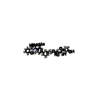 CNC(=N)/C(=C\C(=N)c1ccccc1O)N1CCN(C2CCCN(CCOc3cc([C@H](C(=O)N4CC[C@@H](O)C4)C(C)C)on3)C2)C[C@@H]1C